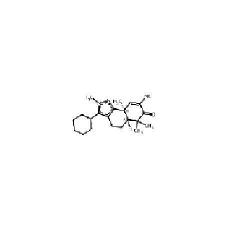 [C-]#[N+]C1=C[C@]2(C)c3nn(C)c(C4CCCCC4)c3CC[C@H]2C(C)(C)C1=O